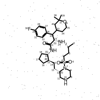 CCCCS(=O)(=O)N1CCNC[C@@H]1CC[C@H]1CCC[C@@H]1NC(=O)[C@@H](N)C(c1ccc(F)cc1)C1CCOC(C)(C)C1